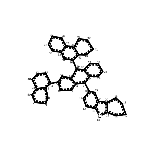 c1ccc2c(-c3ccc4c(-c5ccc6oc7ccccc7c6c5)c5ccccc5c(-c5cc6ccccc6c6ccccc56)c4c3)cccc2c1